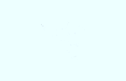 COC(=O)c1cc(CC#N)cc(Br)c1OC